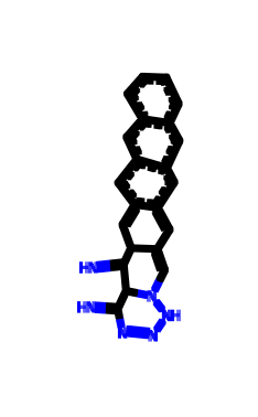 N=C1N=NNN2C=C3C=c4cc5cc6ccccc6cc5cc4=CC3C(=N)C12